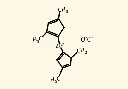 CC1=CC(C)[C]([Zr+2][C]2=C(C)C=C(C)C2)=C1.[Cl-].[Cl-]